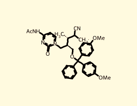 [CH2]C(C#N)[C@@H](C)[C@@H](COC(c1ccccc1)(c1ccc(OC)cc1)c1ccc(OC)cc1)Cn1ccc(NC(C)=O)nc1=O